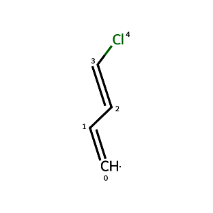 [CH]=CC=CCl